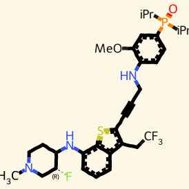 COc1cc(P(=O)(C(C)C)C(C)C)ccc1NCC#Cc1sc2c(NC3CCN(C)C[C@H]3F)cccc2c1CC(F)(F)F